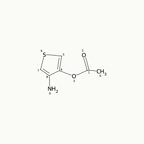 CC(=O)Oc1cscc1N